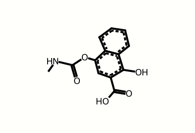 CNC(=O)Oc1cc(C(=O)O)c(O)c2ccccc12